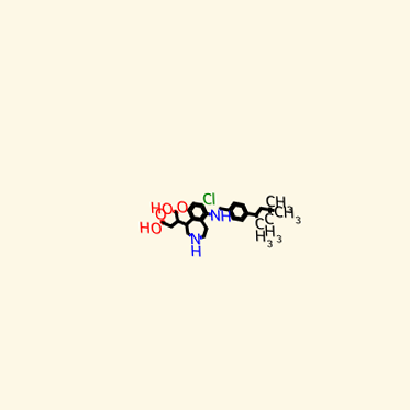 CC(CC(C)(C)C)c1ccc(CNc2c(Cl)ccc3c2CCNCC3C(CC(=O)O)C(=O)O)cc1